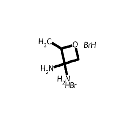 Br.Br.CC1OCC1(N)N